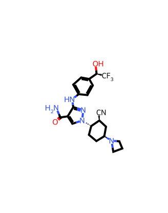 N#C[C@H]1C[C@@H](N2CCC2)CC[C@@H]1n1cc(C(N)=O)c(Nc2ccc([C@@H](O)C(F)(F)F)cc2)n1